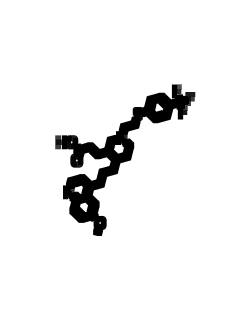 COc1ccc2nccc(CCCC3CCN(CCSc4ccc(C(F)(F)F)cc4)CC3CCC(=O)O)c2c1